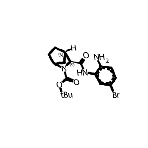 CC(C)(C)OC(=O)N1C2CC[C@@H](C2)[C@H]1C(=O)Nc1cc(Br)ccc1N